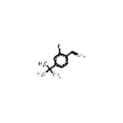 C=Cc1ccc(C(C)(C)C)cc1F